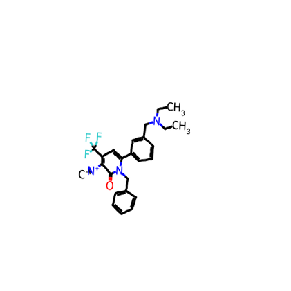 [C-]#[N+]c1c(C(F)(F)F)cc(-c2cccc(CN(CC)CC)c2)n(Cc2ccccc2)c1=O